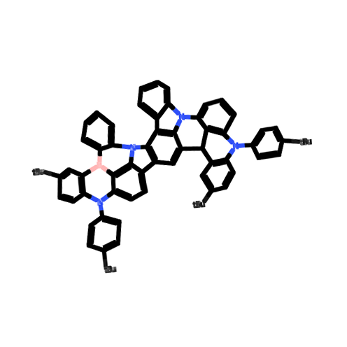 CC(C)(C)c1ccc(N2c3ccc(C(C)(C)C)cc3C3c4c2cccc4-n2c4ccccc4c4c2c3cc2c3ccc5c6c3n(c24)-c2ccccc2B6c2cc(C(C)(C)C)ccc2N5c2ccc(C(C)(C)C)cc2)cc1